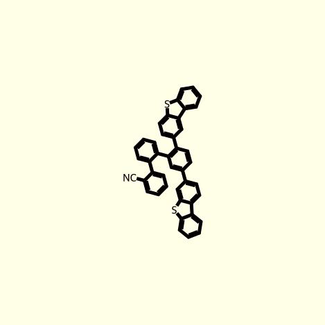 N#Cc1ccccc1-c1ccccc1-c1cc(-c2ccc3c(c2)sc2ccccc23)ccc1-c1ccc2sc3ccccc3c2c1